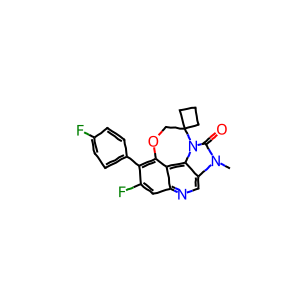 Cn1c(=O)n2c3c4c(c(-c5ccc(F)cc5)c(F)cc4ncc31)OCC21CCC1